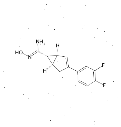 N/C(=N\O)[C@@H]1[C@H]2C=C(c3ccc(F)c(F)c3)C[C@H]21